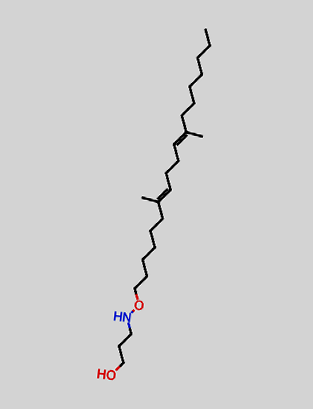 CCCCCCC/C(C)=C/CC/C=C(\C)CCCCCCONCCCO